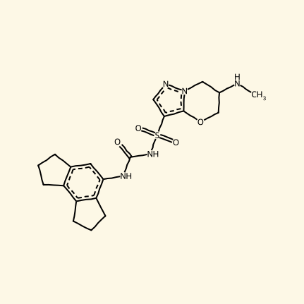 CNC1COc2c(S(=O)(=O)NC(=O)Nc3cc4c(c5c3CCC5)CCC4)cnn2C1